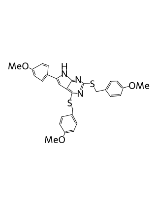 COc1ccc(CSc2nc(SCc3ccc(OC)cc3)c3cc(-c4ccc(OC)cc4)[nH]c3n2)cc1